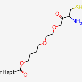 CCCCCCCC(=O)OCCCCOCCOCC(=O)C(N)CS